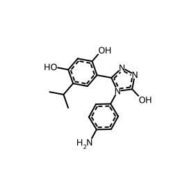 CC(C)c1cc(-c2nnc(O)n2-c2ccc(N)cc2)c(O)cc1O